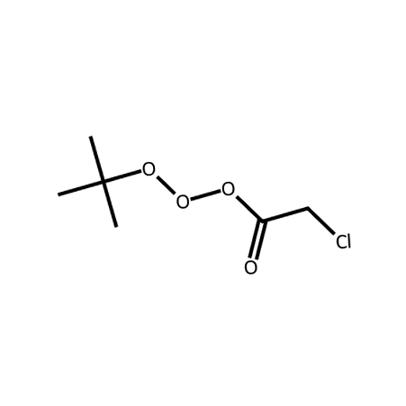 CC(C)(C)OOOC(=O)CCl